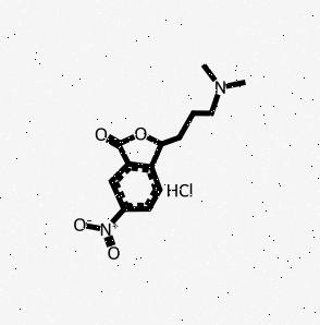 CN(C)CCCC1OC(=O)c2cc([N+](=O)[O-])ccc21.Cl